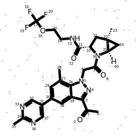 CC(=O)c1nn(CC(=O)N2[C@H](C(=O)NCCOC(F)(F)F)C[C@@]3(C)C[C@@H]23)c2c(C)cc(-c3cnc(C)nc3)cc12